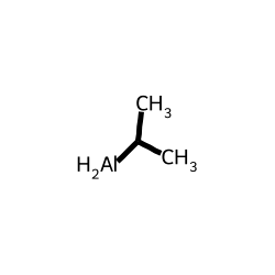 C[CH](C)[AlH2]